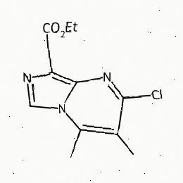 CCOC(=O)c1ncn2c(C)c(C)c(Cl)nc12